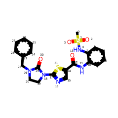 CS(=O)(=O)Nc1ccccc1NC(=O)c1cnc(N2CCN(Cc3ccccc3)C2=O)s1